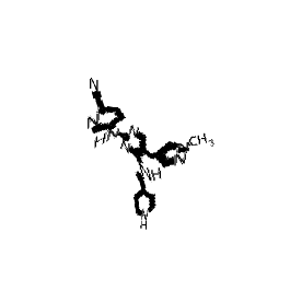 Cn1cc(-c2cnc(Nc3ccc(C#N)nc3)nc2NCC2CCNCC2)cn1